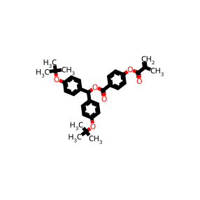 C=C(C)C(=O)Oc1ccc(C(=O)OC(c2ccc(OC(C)(C)C)cc2)c2ccc(OC(C)(C)C)cc2)cc1